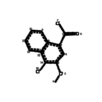 COc1cc(C(=O)Cl)c2ccccc2c1Cl